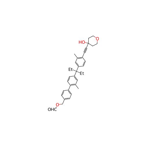 CCC(CC)(c1ccc(C#CC2(O)CCOCC2)c(C)c1)c1ccc(-c2ccc(COC=O)cc2)c(C)c1